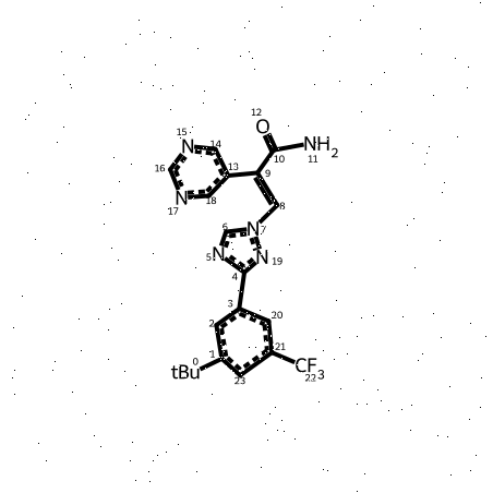 CC(C)(C)c1cc(-c2ncn(/C=C(/C(N)=O)c3cncnc3)n2)cc(C(F)(F)F)c1